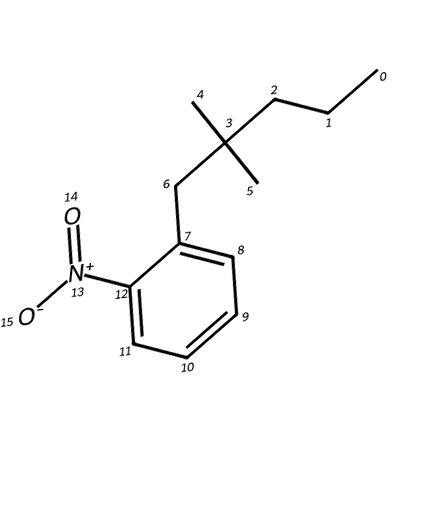 CCCC(C)(C)Cc1ccccc1[N+](=O)[O-]